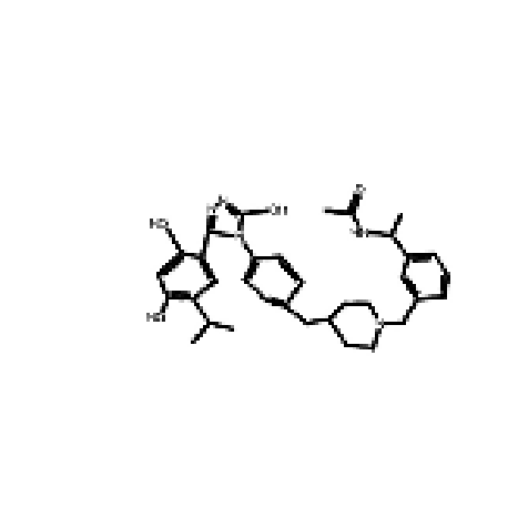 CC(=O)NC(C)c1cccc(CN2CCC(Cc3ccc(-n4c(O)nnc4-c4cc(C(C)C)c(O)cc4O)cc3)CC2)c1